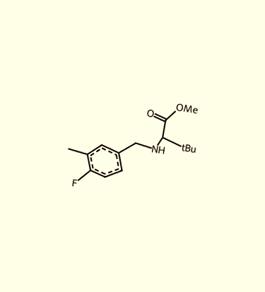 COC(=O)C(NCc1ccc(F)c(C)c1)C(C)(C)C